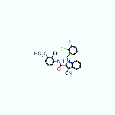 CCc1c(NC(=O)c2c(C#N)c3ccccc3n2Cc2cccc(F)c2Cl)cccc1C(=O)O